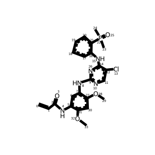 C=CC(=O)Nc1cc(Nc2ncc(Cl)c(Nc3ccccc3P(C)(C)=O)n2)c(OC)cc1OC